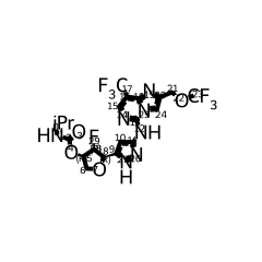 CC(C)NC(=O)O[C@@H]1CO[C@H](c2cc(Nc3ncc(C(F)(F)F)c4nc(COC(F)(F)F)cn34)n[nH]2)[C@H]1F